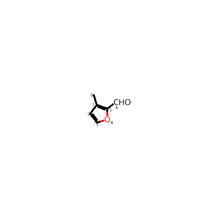 Cc1ccoc1[C]=O